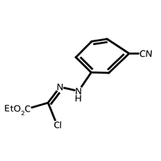 CCOC(=O)C(Cl)=NNc1cccc(C#N)c1